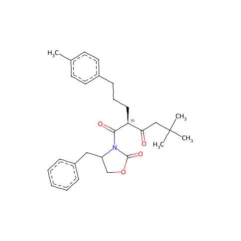 Cc1ccc(CCC[C@@H](C(=O)CC(C)(C)C)C(=O)N2C(=O)OCC2Cc2ccccc2)cc1